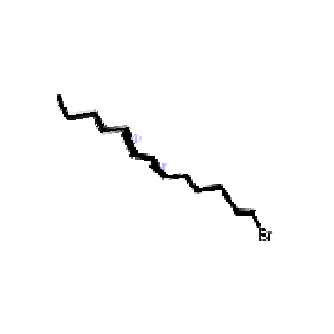 CCCC/C=C/C=C/CCCCCBr